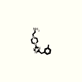 Cc1cccc(Cc2nsc(N3CCN(CCN)CC3)n2)c1